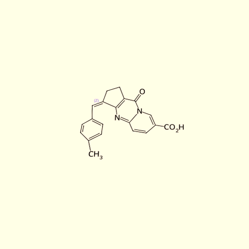 Cc1ccc(/C=C2/CCc3c2nc2ccc(C(=O)O)cn2c3=O)cc1